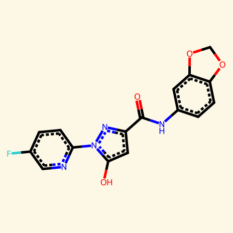 O=C(Nc1ccc2c(c1)OCO2)c1cc(O)n(-c2ccc(F)cn2)n1